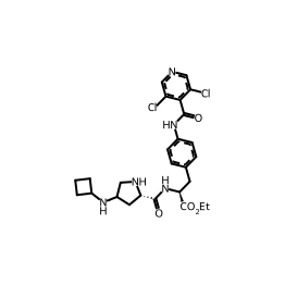 CCOC(=O)[C@H](Cc1ccc(NC(=O)c2c(Cl)cncc2Cl)cc1)NC(=O)[C@@H]1CC(NC2CCC2)CN1